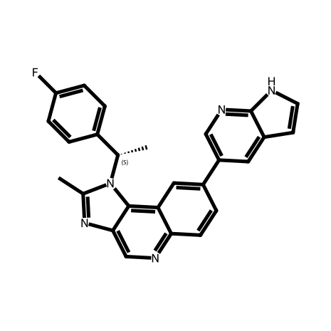 Cc1nc2cnc3ccc(-c4cnc5[nH]ccc5c4)cc3c2n1[C@@H](C)c1ccc(F)cc1